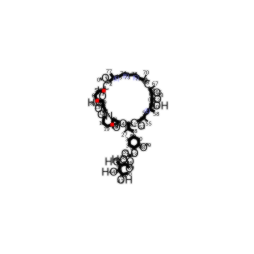 CO[C@H]1C[C@@H]2CC[C@@H](C)[C@@](O)(O2)C(=O)C(=O)N2CCCC[C@H]2C(=O)O[C@H]([C@H](C)C[C@H]2CC[C@@H](OC(=O)O[C@@]3(O)OC[C@H](O)[C@H](O)C3O)[C@H](OC)C2)CC(=O)[C@H](C)/C=C(\C)[C@@H](O)[C@@H](OC)C(=O)[C@H](C)C[C@H](C)/C=C/C=C/C=C/1C